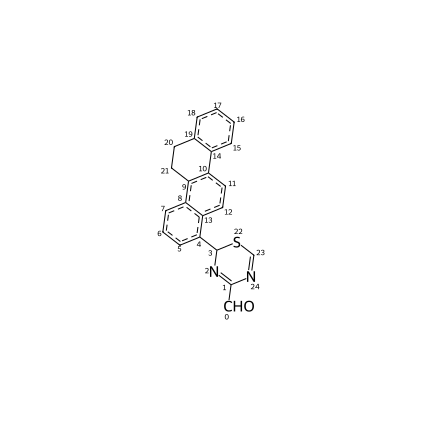 O=CC1=NC(c2cccc3c4c(ccc23)-c2ccccc2CC4)SC=N1